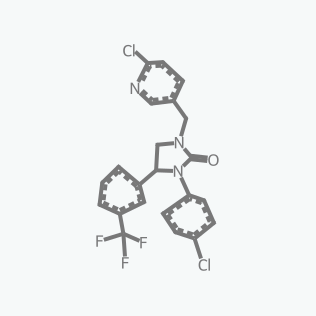 O=C1N(Cc2ccc(Cl)nc2)CC(c2cccc(C(F)(F)F)c2)N1c1ccc(Cl)cc1